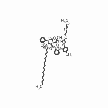 CCCCCCCCCCCCCCCCCCN1C(C(C(=O)Nc2ccccc2Sc2cc(C)ccc2OCCOCCOCCOC)N2C(=O)OC(C)(C)C2=O)=Nc2ccccc2S1(=O)=O